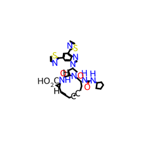 O=C(NC1CCCC1)N[C@@H]1CCCCC/C=C\[C@@H]2CC2(C(=O)O)NC(=O)[C@@H]2C[C@@H](n3cnc4c(-c5nccs5)cc(-c5nccs5)cc43)CN2C1=O